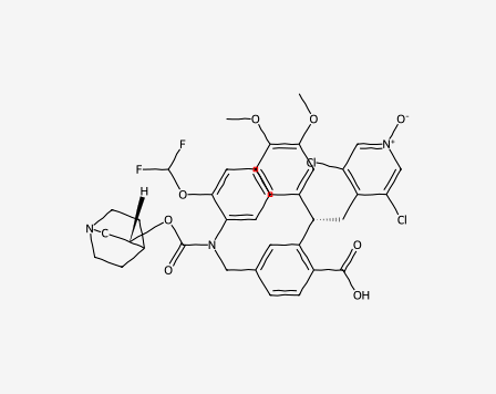 COc1ccc([C@H](Cc2c(Cl)c[n+]([O-])cc2Cl)c2cc(CN(C(=O)O[C@H]3CN4CCC3CC4)c3ccccc3OC(F)F)ccc2C(=O)O)cc1OC